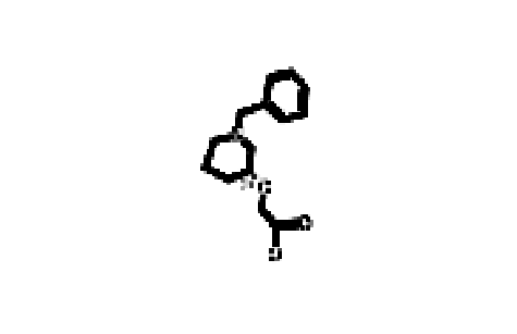 O=C(O)CO[C@@H]1CCCN(Cc2ccccc2)C1